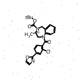 C[C@@H]1CN(C(=O)c2ccc(-c3ncco3)cc2Cl)c2ccccc2CN1C(=O)OC(C)(C)C